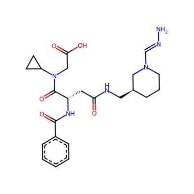 NN=CN1CCC[C@@H](CNC(=O)C[C@H](NC(=O)c2ccccc2)C(=O)N(CC(=O)O)C2CC2)C1